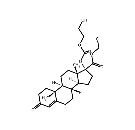 C[C@]12CCC(=O)C=C1CC[C@@H]1[C@@H]2CC[C@@]2(C)[C@H]1CC[C@]2(OC(=O)OCCO)C(=O)OCCl